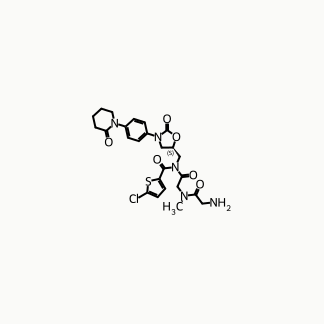 CN(CC(=O)N(C[C@H]1CN(c2ccc(N3CCCCC3=O)cc2)C(=O)O1)C(=O)c1ccc(Cl)s1)C(=O)CN